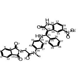 CN(C(=O)CN1C(=O)c2ccccc2C1=O)c1ccc(NC(=C2C(=O)Nc3ccc([N+](=O)[O-])cc32)c2ccccc2)cc1